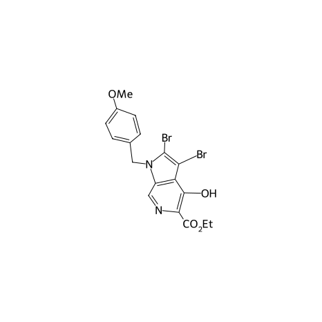 CCOC(=O)c1ncc2c(c1O)c(Br)c(Br)n2Cc1ccc(OC)cc1